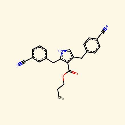 CCCOC(=O)c1c(Cc2ccc(C#N)cc2)c[nH]c1Cc1cccc(C#N)c1